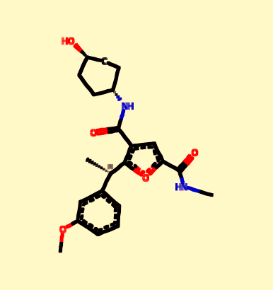 CNC(=O)c1cc(C(=O)N[C@H]2CC[C@H](O)CC2)c([C@@H](C)c2cccc(OC)c2)o1